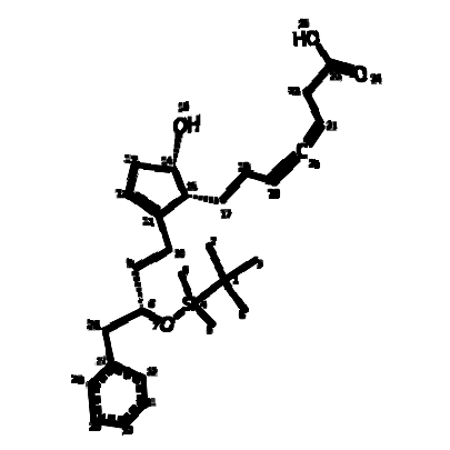 CC(C)(C)[Si](C)(C)O[C@@H](CCC1=CC[C@H](O)[C@@H]1CCC=C=CCC(=O)O)Cc1ccccc1